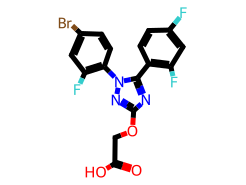 O=C(O)COc1nc(-c2ccc(F)cc2F)n(-c2ccc(Br)cc2F)n1